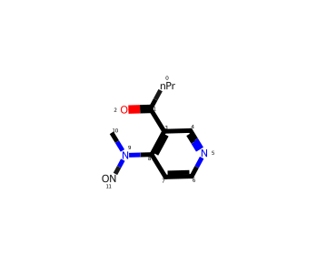 CCCC(=O)c1cnccc1N(C)N=O